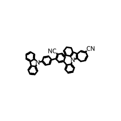 N#CC1=Cc2c3c(n(-c4ccccc4-c4ccc(C#N)c(-c5ccc(-n6c7ccccc7c7ccccc76)cc5)c4)c2CC=C1)C=CCC3